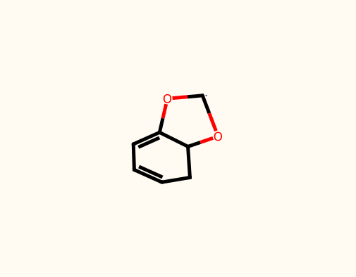 [CH]1OC2=CC=CCC2O1